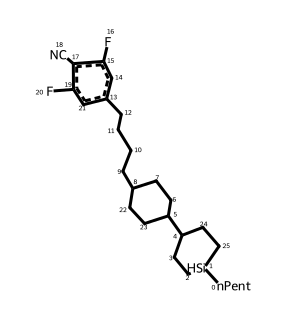 CCCCC[SiH]1CCC(C2CCC(CCCCc3cc(F)c(C#N)c(F)c3)CC2)CC1